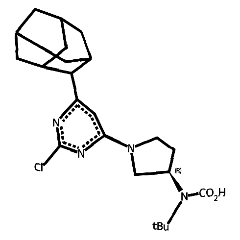 CC(C)(C)N(C(=O)O)[C@@H]1CCN(c2cc(C3C4CC5CC(C4)CC3C5)nc(Cl)n2)C1